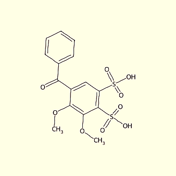 COc1c(C(=O)c2ccccc2)cc(S(=O)(=O)O)c(S(=O)(=O)O)c1OC